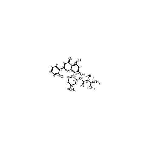 CC(C)[C@H](N)C(=O)O[C@@H]1CN(C)CC[C@@H]1c1c(O)cc(O)c2c(=O)cc(-c3ccccc3Cl)oc12